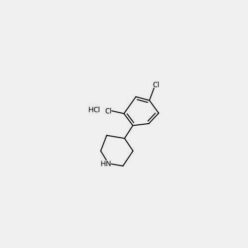 Cl.Clc1ccc(C2CCNCC2)c(Cl)c1